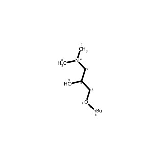 CCCCOCC(O)CN(C)C